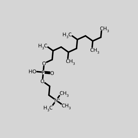 CCC(C)CC(C)CC(C)CC(C)COP(=O)(O)OCC[N+](C)(C)C